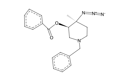 C[C@]1(N=[N+]=[N-])CCN(Cc2ccccc2)C[C@H]1OC(=O)c1ccccc1